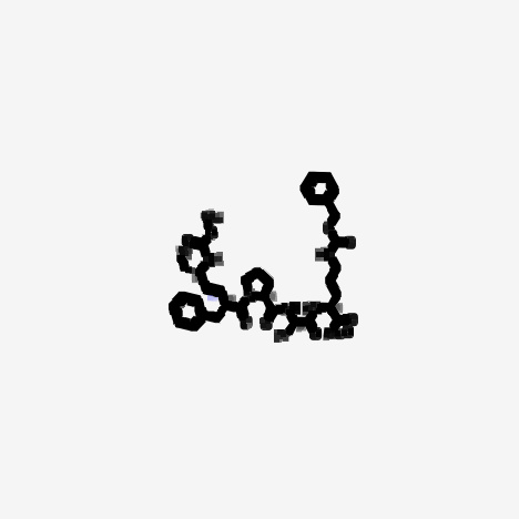 COC(=O)[C@H](CCCNC(=O)OCc1ccccc1)NC(=O)[C@H](NC(=O)[C@@H]1CCCN1C(=O)[C@H](/C=C/[C@H](CC(C)C)NC(=O)OC(C)(C)C)Cc1ccccc1)C(C)C